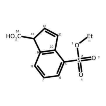 CCOS(=O)(=O)c1cccc2c1C=CC2C(=O)O